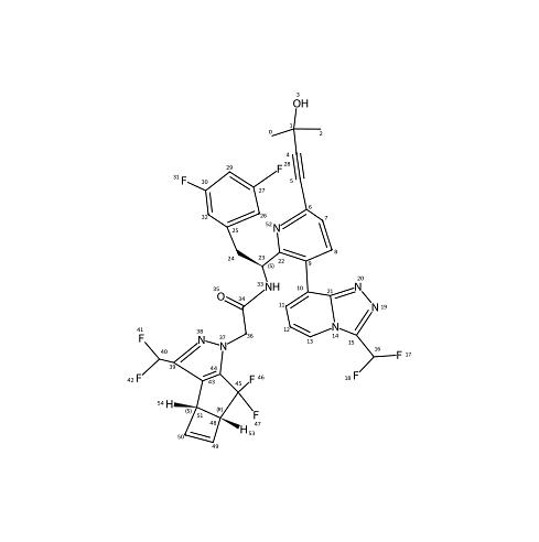 CC(C)(O)C#Cc1ccc(-c2cccn3c(C(F)F)nnc23)c([C@H](Cc2cc(F)cc(F)c2)NC(=O)Cn2nc(C(F)F)c3c2C(F)(F)[C@@H]2C=C[C@H]32)n1